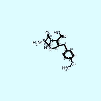 COc1ccc(CC2=C(C(=O)O)N3C(=O)[C@@H](N)[C@@H]3SC2)cc1